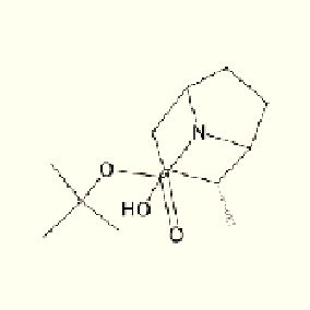 C[C@@H]1C(O)CC2CCC1N2C(=O)OC(C)(C)C